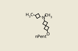 CCCCCOC1CC2(C1)CC(N(C)[C@H]1C[C@H](C)C1)C2